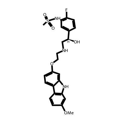 COc1ccc2c(c1)[nH]c1cc(OCCNC[C@H](O)c3ccc(F)c(NS(C)(=O)=O)c3)ccc12